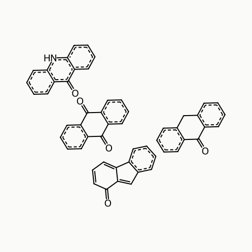 O=C1C=CC=C2C1=Cc1ccccc12.O=C1c2ccccc2C(=O)c2ccccc21.O=C1c2ccccc2Cc2ccccc21.O=c1c2ccccc2[nH]c2ccccc12